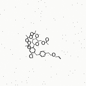 C=CCOCCc1ccc(Cc2cc([C@@H]3OC(COC(C)=O)C(OC(C)=O)C(OC(C)=O)[C@H]3OC(C)=O)ccc2Cl)cc1